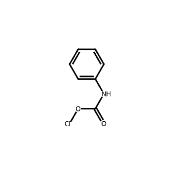 O=C(Nc1ccccc1)OCl